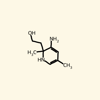 CC1=CNC(C)(CCO)C(N)=C1